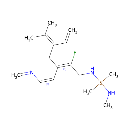 C=CC(CC(/C=C\N=C)=C(\F)CNS(C)(C)NC)=C(C)C